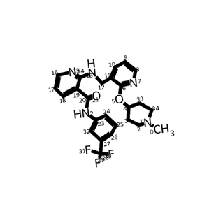 CN1CCC(Oc2ncccc2CNc2ncccc2C(=O)Nc2cccc(C(F)(F)F)c2)CC1